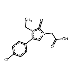 CCn1c(-c2ccc(Cl)cc2)cn(CC(=O)O)c1=O